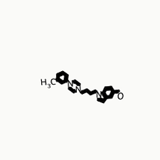 Cc1cccc(N2CCN(CCCCn3ccc4cc(C=O)ccc43)CC2)c1